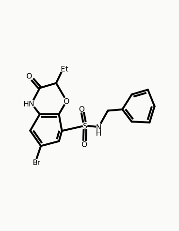 CCC1Oc2c(cc(Br)cc2S(=O)(=O)NCc2ccccc2)NC1=O